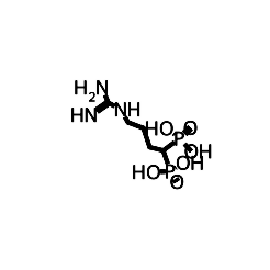 N=C(N)NCCCC(P(=O)(O)O)P(=O)(O)O